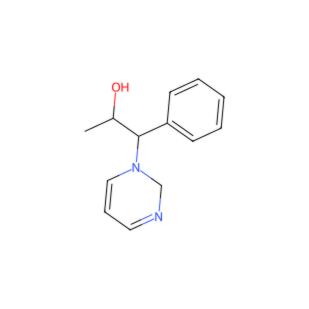 CC(O)C(c1ccccc1)N1C=CC=NC1